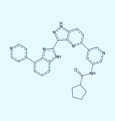 O=C(Nc1cncc(-c2ccc3[nH]nc(-c4nc5c(-c6ccncc6)cccc5[nH]4)c3n2)c1)C1CCCC1